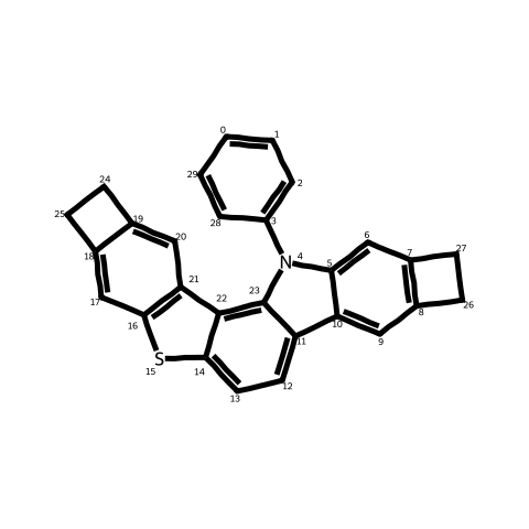 c1ccc(-n2c3cc4c(cc3c3ccc5sc6cc7c(cc6c5c32)CC7)CC4)cc1